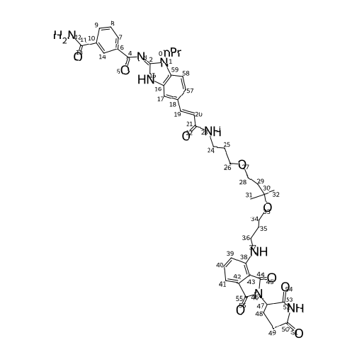 CCCn1/c(=N/C(=O)c2cccc(C(N)=O)c2)[nH]c2cc(/C=C/C(=O)NCCCOCCC(C)(C)OCCCNc3cccc4c3C(=O)N(C3CCC(=O)NC3=O)C4=O)ccc21